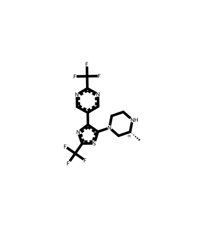 C[C@@H]1CN(c2sc(C(F)(F)F)nc2-c2cnc(C(F)(F)F)nc2)CCN1